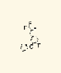 FC(F)=C(F)Cc1ccc(F)c(Oc2ccccc2)c1